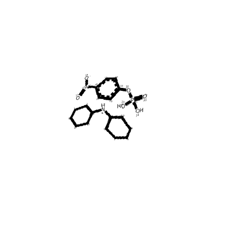 C1CCC(NC2CCCCC2)CC1.O=[N+]([O-])c1ccc(OP(=O)(O)O)cc1